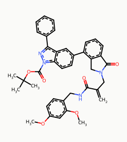 C=C(CN1Cc2c(cccc2-c2ccc3c(c2)c(-c2ccccc2)nn3C(=O)OC(C)(C)C)C1=O)C(=O)NCc1ccc(OC)cc1OC